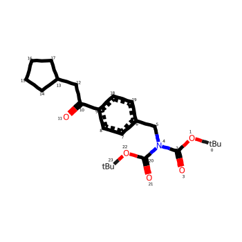 CC(C)(C)OC(=O)N(Cc1ccc(C(=O)CC2CCCC2)cc1)C(=O)OC(C)(C)C